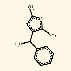 Cc1nc(C(N)c2ccccc2)c(C)o1